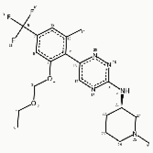 CCOCOc1cc(C(F)(F)F)cc(C)c1-c1cnc(N[C@@H]2CCCN(C)C2)nn1